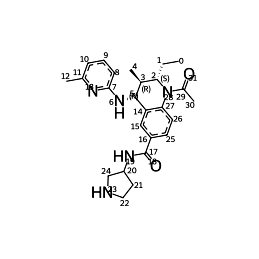 CC[C@H]1[C@H](C)[C@@H](Nc2cccc(C)n2)c2cc(C(=O)NC3CCNC3)ccc2N1C(C)=O